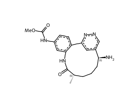 COC(=O)Nc1ccc2c(c1)NC(=O)[C@@H](C)CCC[C@H](N)c1cnnc-2c1